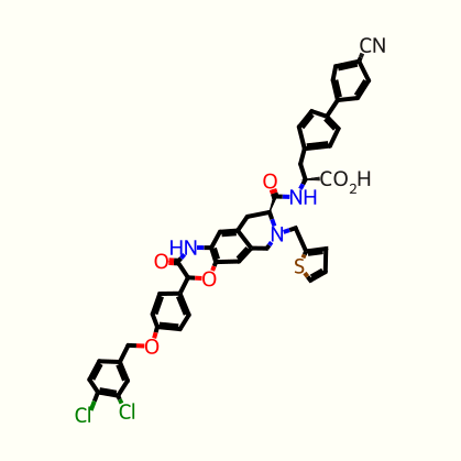 N#Cc1ccc(-c2ccc(C[C@H](NC(=O)[C@@H]3Cc4cc5c(cc4CN3Cc3cccs3)OC(c3ccc(OCc4ccc(Cl)c(Cl)c4)cc3)C(=O)N5)C(=O)O)cc2)cc1